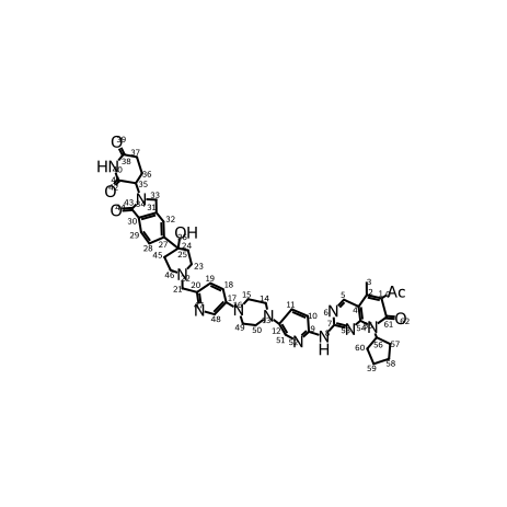 CC(=O)c1c(C)c2cnc(Nc3ccc(N4CCN(c5ccc(CN6CCC(O)(c7ccc8c(c7)CN(C7CCC(=O)NC7=O)C8=O)CC6)nc5)CC4)cn3)nc2n(C2CCCC2)c1=O